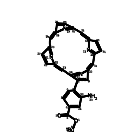 CC(C)(C)OC(=O)c1ccc(C2=CC3=CC4=NC(=CC5=NC(=CC6=NC(=CC2=N3)C=C6)C=C5)C=C4)c(N)c1